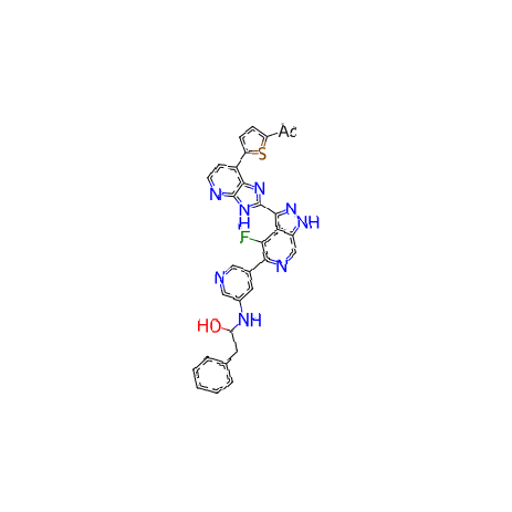 CC(=O)c1ccc(-c2ccnc3[nH]c(-c4n[nH]c5cnc(-c6cncc(NC(O)Cc7ccccc7)c6)c(F)c45)nc23)s1